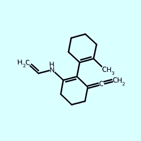 C=C=C1CCCC(NC=C)=C1C1=C(C)CCCC1